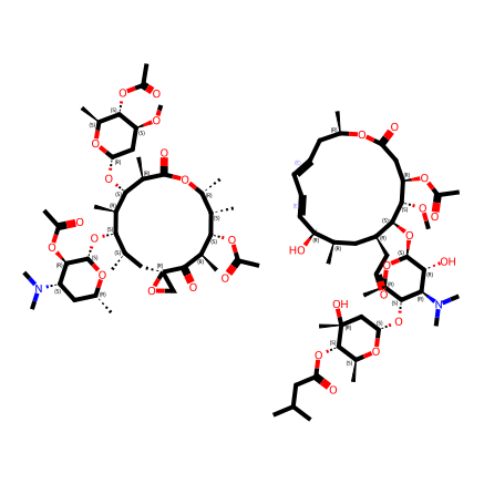 CO[C@@H]1[C@@H](O[C@@H]2O[C@H](C)[C@@H](O[C@H]3C[C@@](C)(O)[C@@H](OC(=O)CC(C)C)[C@H](C)O3)[C@H](N(C)C)[C@H]2O)[C@@H](CC=O)C[C@@H](C)[C@@H](O)/C=C/C=C/C[C@@H](C)OC(=O)C[C@H]1OC(C)=O.CO[C@H]1C[C@H](O[C@H]2[C@H](C)[C@@H](O[C@@H]3O[C@H](C)C[C@H](N(C)C)[C@H]3OC(C)=O)[C@@H](C)C[C@@]3(CO3)C(=O)[C@H](C)[C@@H](OC(C)=O)[C@@H](C)[C@@H](C)OC(=O)[C@@H]2C)O[C@@H](C)[C@@H]1OC(C)=O